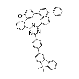 CC1(C)c2ccccc2-c2cc(-c3ccc(-c4nc(-c5ccccc5)nc(-c5cccc6oc7ccc(-c8ccc(-c9ccccc9)cc8)cc7c56)n4)cc3)ccc21